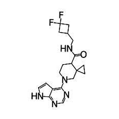 O=C(NCC1CC(F)(F)C1)C1CCN(c2ncnc3[nH]ccc23)CC12CC2